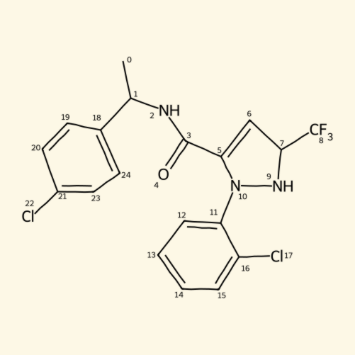 CC(NC(=O)C1=CC(C(F)(F)F)NN1c1ccccc1Cl)c1ccc(Cl)cc1